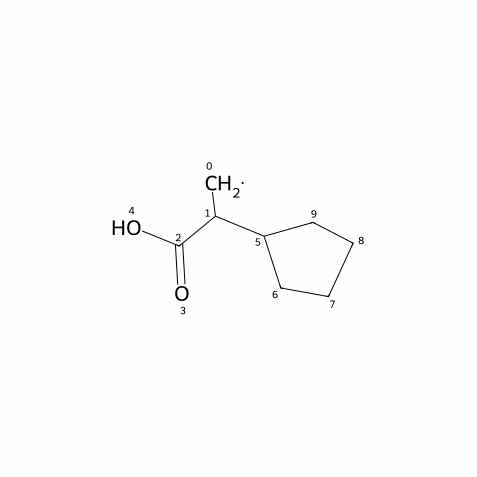 [CH2]C(C(=O)O)C1CCCC1